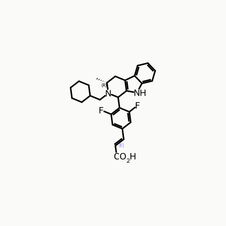 C[C@@H]1Cc2c([nH]c3ccccc23)C(c2c(F)cc(/C=C/C(=O)O)cc2F)N1CC1CCCCC1